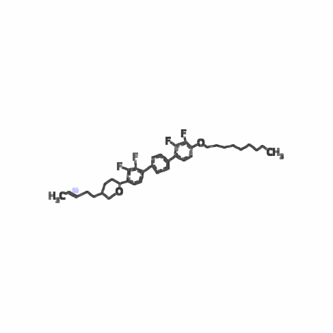 C/C=C/CCC1CCC(c2ccc(-c3ccc(-c4ccc(OCCCCCCCCC)c(F)c4F)cc3)c(F)c2F)OC1